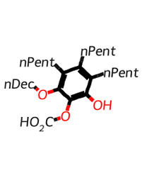 CCCCCCCCCCOc1c(CCCCC)c(CCCCC)c(CCCCC)c(O)c1OC(=O)O